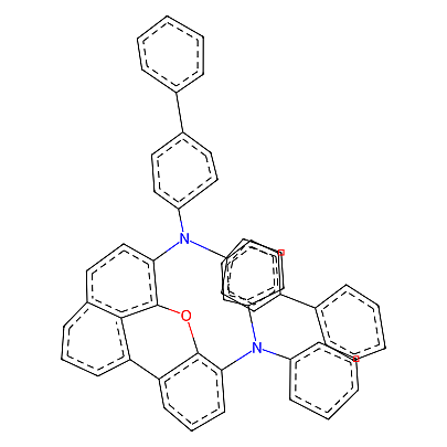 c1ccc(-c2ccc(N(c3ccc(-c4ccccc4)cc3)c3ccc4cccc5c4c3Oc3c-5cccc3N(c3ccccc3)c3ccccc3)cc2)cc1